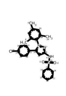 Cc1cc(C)c(-n2nc(NS(=O)(=O)c3ccccc3)cc2-c2ccc(Cl)cc2)c(C)c1